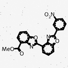 COC(=O)c1cccc2oc(-c3cccc4oc(-c5cccc([N+](=O)[O-])c5)nc34)nc12